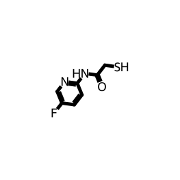 O=C(CS)Nc1ccc(F)cn1